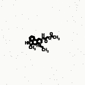 CCCN1C[C@@H](NC(=O)COC(C)=O)C=C2c3cccc4c3C(C[C@H]21)C(C)N4